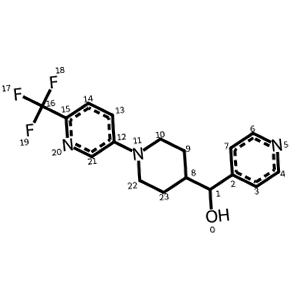 OC(c1ccncc1)C1CCN(c2ccc(C(F)(F)F)nc2)CC1